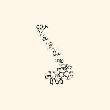 O=C(O)COCCOCCOCCOCCOCCS(=O)(=O)c1cccc2c1C(=O)N(C1CCC(=O)NC1=O)C2=O